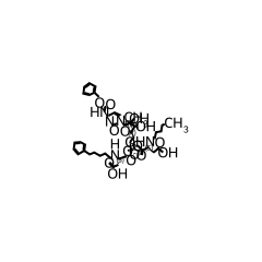 CCCCCN[C@@H](CC(=O)O)C(=O)OP(=O)(OC[C@H]1O[C@@H](n2ccc(NC(=O)OCc3ccccc3)nc2=O)[C@](C)(O)[C@@H]1O)OC(=O)[C@H](CC(=O)O)NCCCCCc1ccccc1